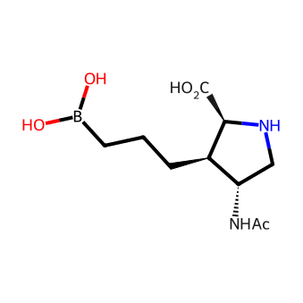 CC(=O)N[C@H]1CN[C@H](C(=O)O)[C@@H]1CCCB(O)O